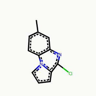 Cc1ccc2c(c1)nc(Cl)c1cccn12